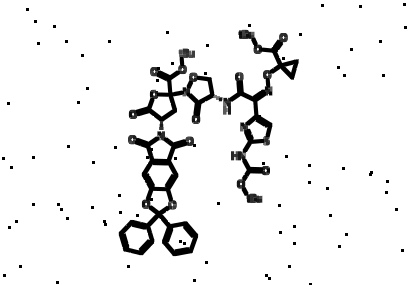 CC(C)(C)OC(=O)Nc1nc(/C(=N/OC2(C(=O)OC(C)(C)C)CC2)C(=O)N[C@H]2CON(C3(C(=O)OC(C)(C)C)C[C@H](N4C(=O)c5cc6c(cc5C4=O)OC(c4ccccc4)(c4ccccc4)O6)C(=O)O3)C2=O)cs1